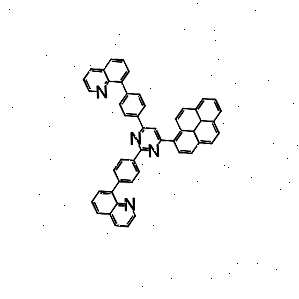 C1=CC2=CC=C3C=CC(c4cc(-c5ccc(-c6cccc7cccnc67)cc5)nc(-c5ccc(-c6cccc7cccnc67)cc5)n4)=C4C=CC(=C1)C2C34